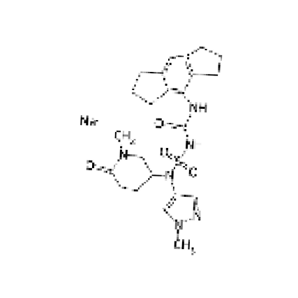 CN1CC(N(c2cnn(C)c2)S(=O)(=O)NC(=O)Nc2c3c(cc4c2CCC4)CCC3)CCC1=O.[Na]